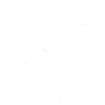 CS(=O)(=O)c1ccc(-c2nc(S(=O)(=O)Cc3ccc(F)cc3)sc2-c2ccc(F)cc2)cc1